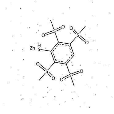 CS(=O)(=O)c1cc(S(C)(=O)=O)c(S(C)(=O)=O)c(S)c1S(C)(=O)=O.[Zn]